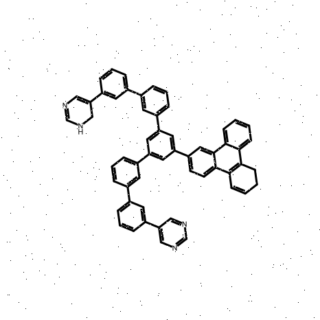 C1=Cc2c(c3ccccc3c3cc(-c4cc(-c5cccc(-c6cccc(C7=CN=CNC7)c6)c5)cc(-c5cccc(-c6cccc(-c7cncnc7)c6)c5)c4)ccc23)CC1